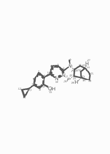 CN(c1ccc(-c2ccc(C3CC3)cc2O)nn1)[C@@H]1C[C@H]2CC[C@H](C2)[C@@H]1F